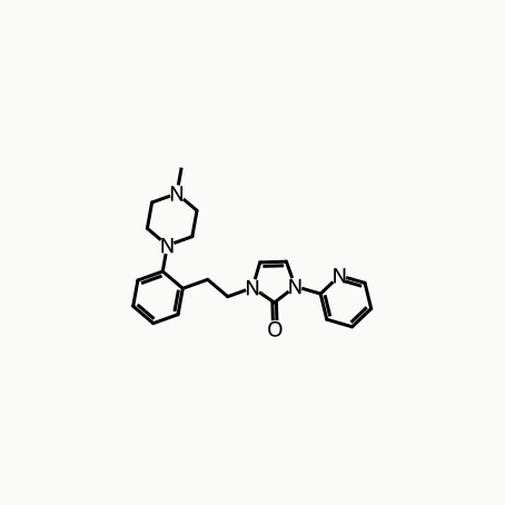 CN1CCN(c2ccccc2CCn2ccn(-c3ccccn3)c2=O)CC1